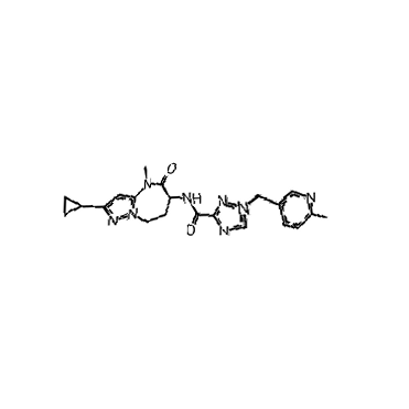 Cc1ccc(Cn2cnc(C(=O)NC3CCn4nc(C5CC5)cc4N(C)C3=O)n2)cn1